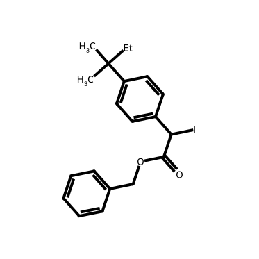 CCC(C)(C)c1ccc(C(I)C(=O)OCc2ccccc2)cc1